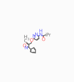 Cc1onc(-c2ccccc2)c1COc1ccc(NC(=O)C(C)C)nn1